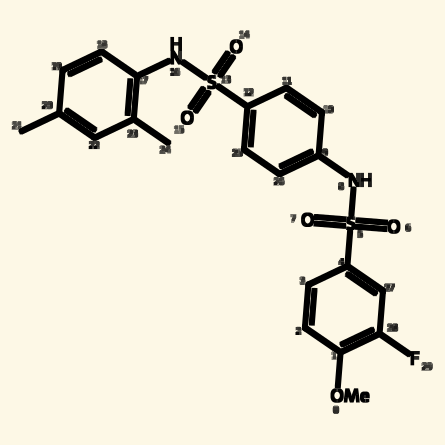 COc1ccc(S(=O)(=O)Nc2ccc(S(=O)(=O)Nc3ccc(C)cc3C)cc2)cc1F